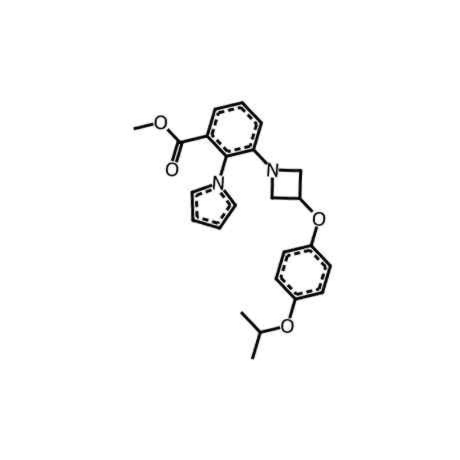 COC(=O)c1cccc(N2CC(Oc3ccc(OC(C)C)cc3)C2)c1-n1cccc1